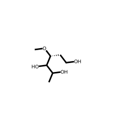 CO[C@H](CCO)C(O)C(C)O